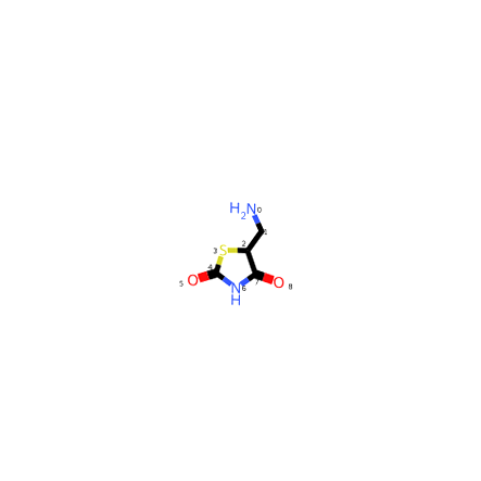 NCC1SC(=O)NC1=O